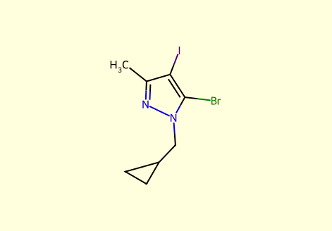 Cc1nn(CC2CC2)c(Br)c1I